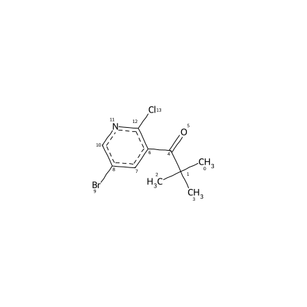 CC(C)(C)C(=O)c1cc(Br)cnc1Cl